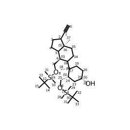 C#CC1CCC2[C@H](CO[Si](C)(C)C(C)(C)C)C([C@@]3(C)CC[C@H](O)C[C@@H]3CO[Si](C)(C)C(C)(C)C)CC[C@]12C